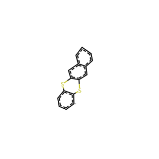 [c]1cccc2c1Sc1cc3ccccc3cc1S2